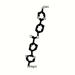 CCCCCCCCCCc1cnc(-c2ccc(OC(=O)c3ccc(-c4ncc(CCCCCCC)cn4)cc3)cc2)nc1